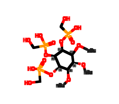 CCCCO[C@@H]1[C@@H](OCCCC)[C@H](OP(=O)(O)CO)[C@@H](OP(=O)(O)CO)[C@@H](OP(=O)(O)CO)[C@H]1OCCCC